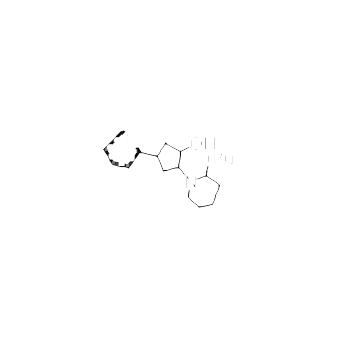 CC(C)(C)C1CCCCN1C1CC(c2ccccc2)CC1O